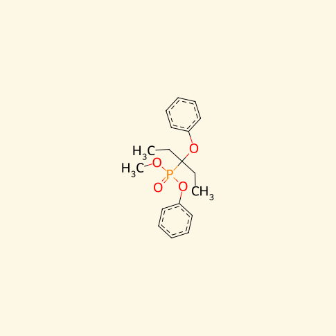 CCC(CC)(Oc1ccccc1)P(=O)(OC)Oc1ccccc1